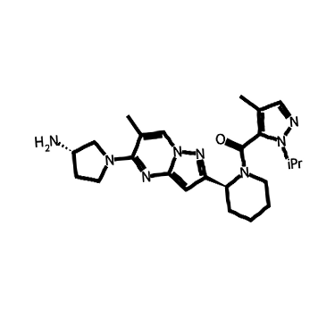 Cc1cn2nc([C@@H]3CCCCN3C(=O)c3c(C)cnn3C(C)C)cc2nc1N1CC[C@H](N)C1